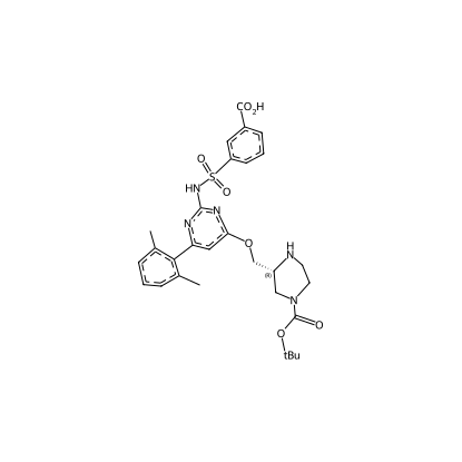 Cc1cccc(C)c1-c1cc(OC[C@H]2CN(C(=O)OC(C)(C)C)CCN2)nc(NS(=O)(=O)c2cccc(C(=O)O)c2)n1